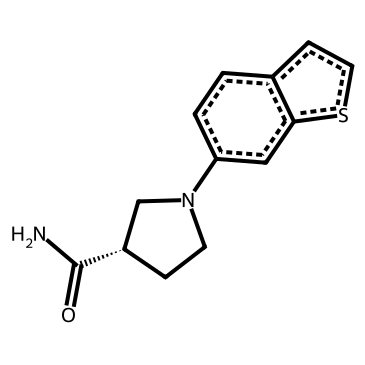 NC(=O)[C@H]1CCN(c2ccc3ccsc3c2)C1